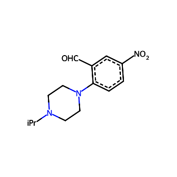 CC(C)N1CCN(c2ccc([N+](=O)[O-])cc2C=O)CC1